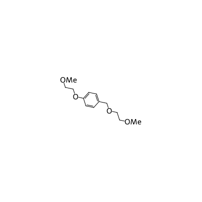 COCCOCc1ccc(OCCOC)cc1